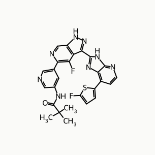 CC(C)(C)C(=O)Nc1cncc(-c2ncc3[nH]nc(-c4nc5c(-c6ccc(F)s6)ccnc5[nH]4)c3c2F)c1